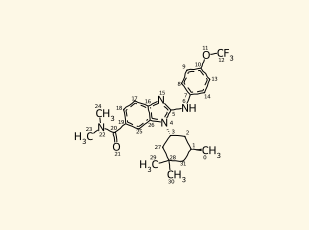 C[C@@H]1C[C@@H](n2c(Nc3ccc(OC(F)(F)F)cc3)nc3ccc(C(=O)N(C)C)cc32)CC(C)(C)C1